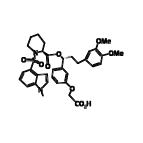 COc1ccc(CC[C@@H](OC(=O)[C@@H]2CCCCN2S(=O)(=O)c2cccc3c2ccn3C)c2cccc(OCC(=O)O)c2)cc1OC